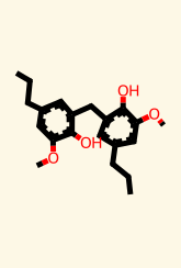 CCCc1cc(Cc2cc(CCC)cc(OC)c2O)c(O)c(OC)c1